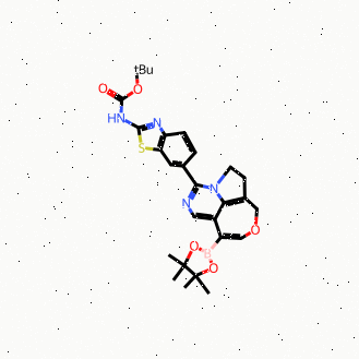 CC(C)(C)OC(=O)Nc1nc2ccc(C3=NC=C4C(B5OC(C)(C)C(C)(C)O5)=COCC5=C4N3CC5)cc2s1